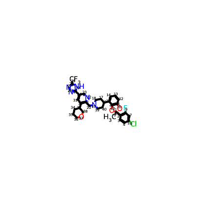 C[C@]1(c2ccc(Cl)cc2F)Oc2cccc(C3CCN(Cc4ncc(-c5nnc(C(F)(F)F)[nH]5)cc4C4CCCOC4)CC3)c2O1